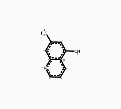 N#Cc1cc(C(F)(F)F)cc2ncccc12